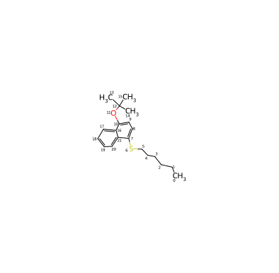 CCCCCCSc1ccc(OC(C)(C)C)c2ccccc12